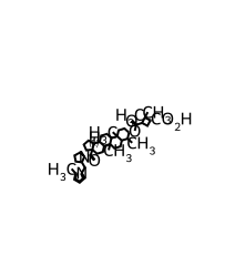 Cc1cccn1CC1CCCN1C(=O)C12CCC[C@@H]1C1CCC3C4(C)CCC(OC(=O)C5CC(C(=O)O)C5(C)C)C(C)C4CCC3(C)C1CC2